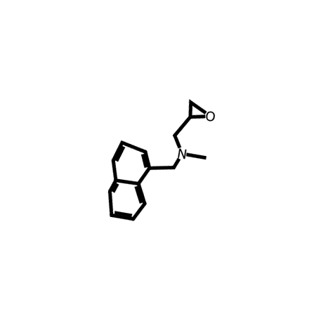 CN(Cc1cccc2ccccc12)CC1CO1